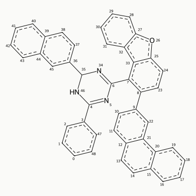 c1ccc(C2=NC(c3c(-c4ccc5ccc6ccccc6c5c4)ccc4oc5ccccc5c34)=NC(c3ccc4ccccc4c3)N2)cc1